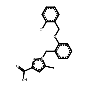 Cc1cc(C(=O)O)nn1Cc1ccccc1OCc1ccccc1Cl